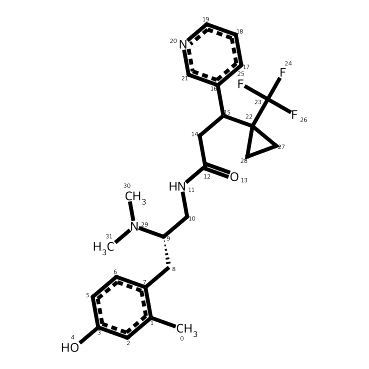 Cc1cc(O)ccc1C[C@@H](CNC(=O)CC(c1cccnc1)C1(C(F)(F)F)CC1)N(C)C